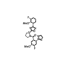 COc1cc(C(=O)N2CCC[C@H]2c2nc(-c3cccc(F)c3OC)no2)c(-n2nccn2)cc1F